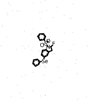 O=S(=O)(c1ccccc1)N1c2ccc([Se]c3ccccc3)cc2CC1F